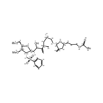 C=C(C(O)C[C@@H]1O[C@H](C[C@H](C)CC)[C@H](OC)[C@H]1CS(=O)(=O)c1ccccc1)[C@H](C)C[C@H](C)CC[C@@H]1O[C@@H](CCCOC(=O)C(C)(C)C)CC1=C